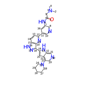 CN(C)CC(=O)Nc1cncc(-c2ccc3[nH]nc(-c4cc5c(N6CCCCC6)cncc5[nH]4)c3n2)c1